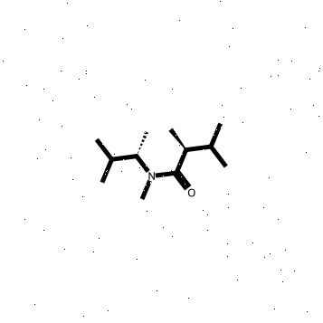 CC(C)[C@H](C)C(=O)N(C)[C@@H](C)C(C)C